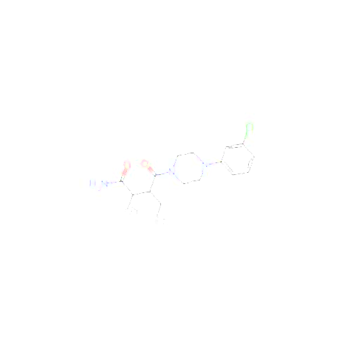 CCCC(C(N)=O)C(CC(C)C)C(=O)N1CCN(c2cccc(Cl)c2)CC1